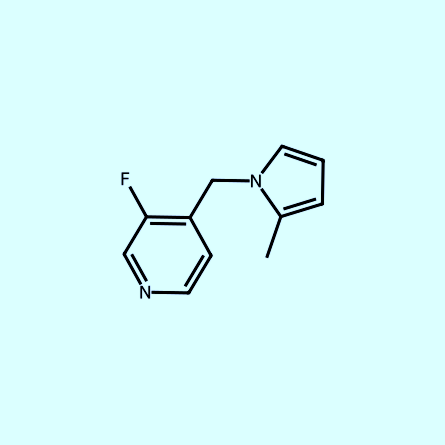 Cc1cccn1Cc1ccncc1F